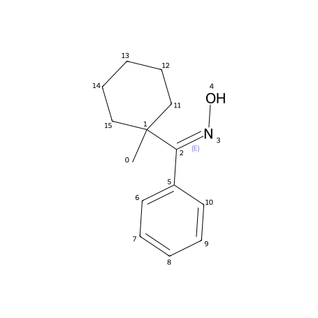 CC1(/C(=N\O)c2ccccc2)CCCCC1